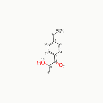 CC(C)Cc1ccc(C(=O)C(C)O)cc1